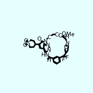 CO[C@H]1CCCCCn2c(=O)c(C3CCS(=O)(=O)CC3)cc3c(ncnc32)N[C@H](C)c2cccc(c2)C(F)(F)C2CCN(CC2)C1